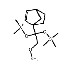 C[Si](C)(C)OC(CO[SiH3])(O[Si](C)(C)C)C12C=CC(CC1)C2